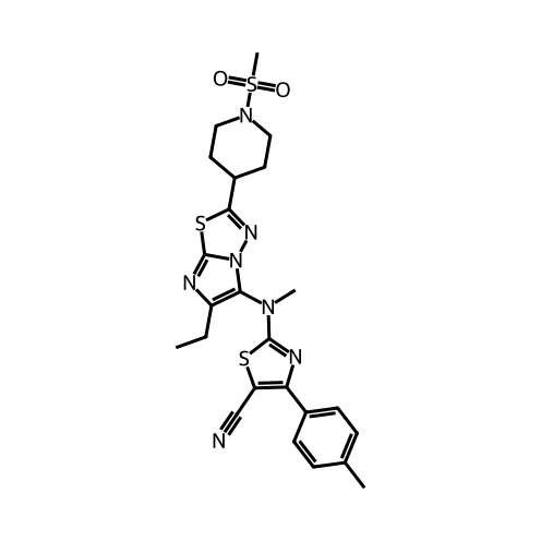 CCc1nc2sc(C3CCN(S(C)(=O)=O)CC3)nn2c1N(C)c1nc(-c2ccc(C)cc2)c(C#N)s1